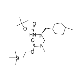 CC1CCC(C[C@@H](CN(C)C(=O)OCC[Si](C)(C)C)NC(=O)OC(C)(C)C)CC1